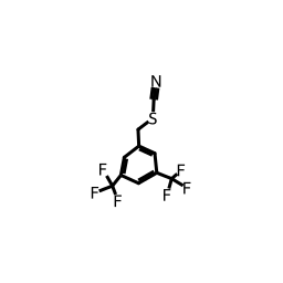 N#CSCc1cc(C(F)(F)F)cc(C(F)(F)F)c1